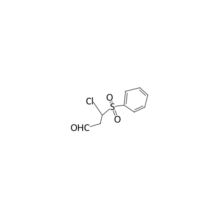 O=CCC(Cl)S(=O)(=O)c1ccccc1